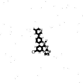 Cc1cncc(-c2cccc(N(C)c3nc4nncn4c4cc(Cl)ccc34)c2)c1